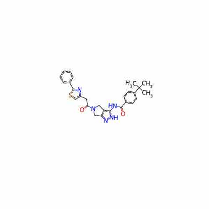 CC(C)(C)c1ccc(C(=O)Nc2[nH]nc3c2CN(C(=O)Cc2csc(-c4ccccc4)n2)C3)cc1